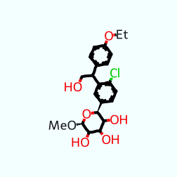 CCOc1ccc(C(CO)c2cc([C@@H]3O[C@H](OC)C(O)C(O)C3O)ccc2Cl)cc1